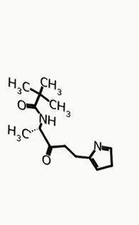 C[C@H](NC(=O)C(C)(C)C)C(=O)CCC1=CCC=N1